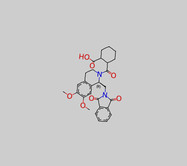 COc1cc2c(cc1OC)[C@H](CN1C(=O)c3ccccc3C1=O)N(C(=O)C1CCCCC1C(=O)O)CC2